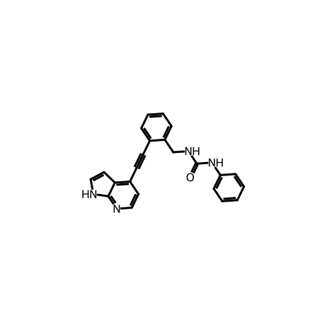 O=C(NCc1ccccc1C#Cc1ccnc2[nH]ccc12)Nc1ccccc1